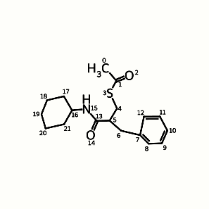 CC(=O)SCC(Cc1ccccc1)C(=O)NC1CCCCC1